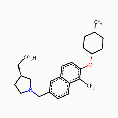 O=C(O)C[C@@H]1CCN(Cc2ccc3c(C(F)(F)F)c(O[C@H]4CC[C@@H](C(F)(F)F)CC4)ccc3c2)C1